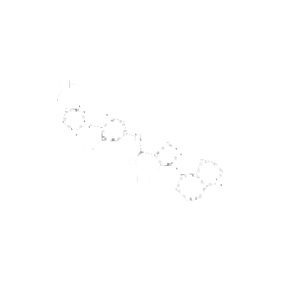 O=C(Nc1cnc(-n2ncc(CO)n2)c(Cl)c1)c1cnn(-c2cccc3ncccc23)c1C(F)(F)F